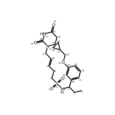 CCC(NS(=O)(=O)CC/C=C/CN1CCC(=O)NC1=O)c1cccc(OCC2CC2)c1